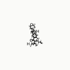 C=CCN1CC2=C(N=C3N=C(N4CCOCC4)NN3C2)C(=O)C1C(N)=S